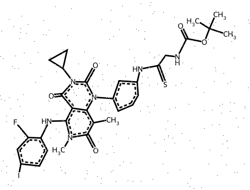 Cc1c(=O)n(C)c(Nc2ccc(I)cc2F)c2c(=O)n(C3CC3)c(=O)n(-c3cccc(NC(=S)CNC(=O)OC(C)(C)C)c3)c12